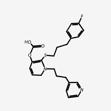 O=C(O)OC1=C(SCCCc2ccc(F)cc2)N(CCCc2cccnc2)CC=C1